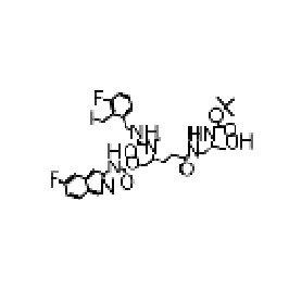 CN(C(=O)NCc1cccc(F)c1CI)[C@@H](CCC(=O)NC[C@H](CO)NC(=O)OC(C)(C)C)COC(=O)Nc1cc2cc(F)ccc2cn1